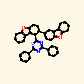 c1ccc(-c2nc(-c3ccccc3)nc(-c3c(-c4ccc5oc6ccccc6c5c4)ccc4oc5ccccc5c34)n2)cc1